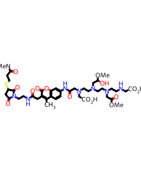 CNC(=O)CCSC1CC(=O)N(CCNC(=O)Cc2c(C)c3ccc(NC(=O)CN(CCN(CCN(CCNCC(=O)O)CC(=O)OC)CC(O)OC)CC(=O)O)cc3oc2=O)C1=O